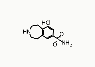 Cl.NS(=O)(=O)c1ccc2c(c1)CCNCC2